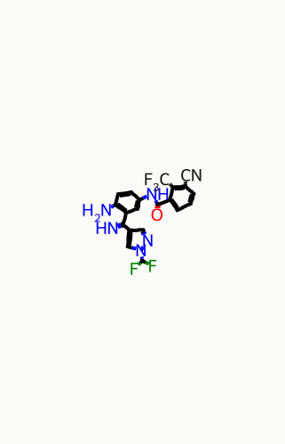 N#Cc1cccc(C(=O)Nc2ccc(N)c(C(=N)c3cnn(C(F)F)c3)c2)c1C(F)(F)F